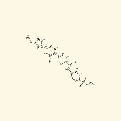 CCC(F)(F)c1ccc(NC(=O)N2CC=C(c3ncc(-c4nc(CO)no4)cc3Cl)CC2)nc1